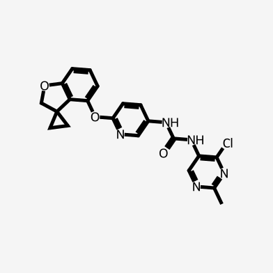 Cc1ncc(NC(=O)Nc2ccc(Oc3cccc4c3C3(CC3)CO4)nc2)c(Cl)n1